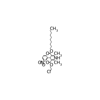 CCCCCCCCCCOC(=O)C1=C(C)NC(C)=C(C(=O)OCCCl)C1c1cccc([N+](=O)[O-])c1